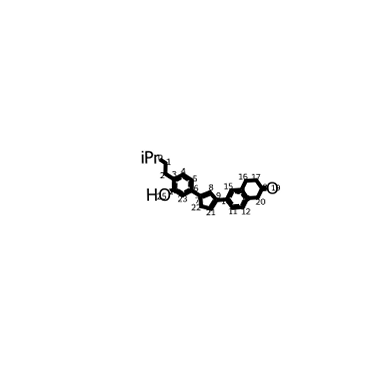 CC(C)CCc1ccc(C2=CC(c3ccc4c(c3)CCC(=O)C4)=CC2)cc1O